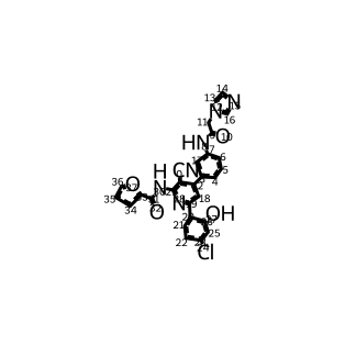 N#Cc1c(-c2cccc(NC(=O)Cn3ccnc3)c2)cc(-c2ccc(Cl)cc2O)nc1NC(=O)c1ccco1